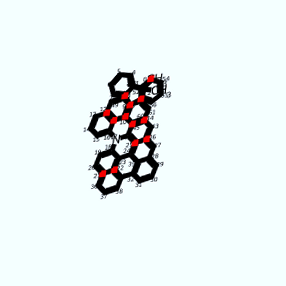 CC1(C)c2ccccc2-c2c(-c3ccccc3N(c3ccccc3-c3cccc4cccc(-c5ccccc5)c34)c3ccccc3-c3cccc4sc5ccccc5c34)cccc21